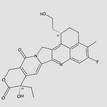 CC[C@@]1(O)C(=O)OCc2c1cc1n(c2=O)Cc2c-1nc1cc(F)c(C)c3c1c2[C@H](CCO)CC3